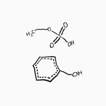 COS(=O)(=O)O.Oc1ccccc1